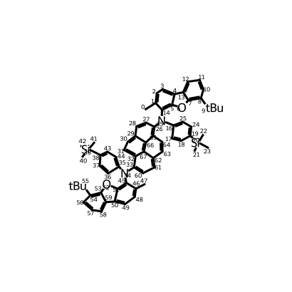 Cc1ccc2c(oc3c(C(C)(C)C)cccc32)c1N(c1ccc([Si](C)(C)C)cc1)c1ccc2ccc3c(N(c4ccc([Si](C)(C)C)cc4)c4c(C)ccc5c4oc4c(C(C)(C)C)cccc45)ccc4ccc1c2c43